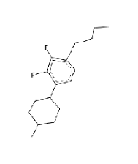 CCCCc1ccc(C2CCC(C)CC2)c(F)c1F